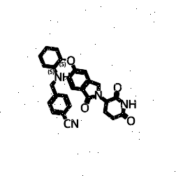 N#Cc1ccc(CN[C@H]2CCCC[C@@H]2Oc2ccc3c(c2)CN(C2CCC(=O)NC2=O)C3=O)cc1